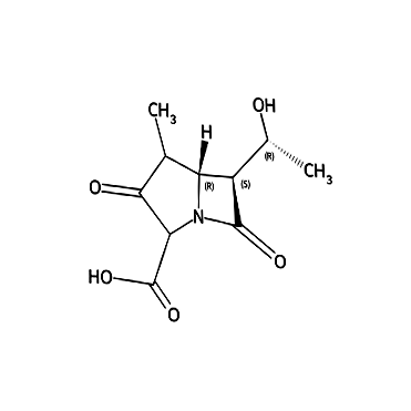 CC1C(=O)C(C(=O)O)N2C(=O)[C@H]([C@@H](C)O)[C@@H]12